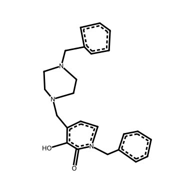 O=c1c(O)c(CN2CCN(Cc3ccccc3)CC2)ccn1Cc1ccccc1